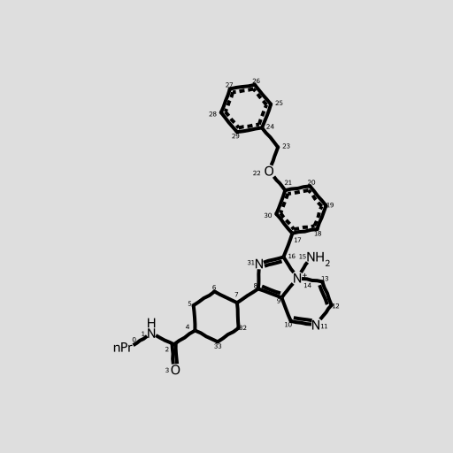 CCCNC(=O)C1CCC(C2=C3C=NC=C[N+]3(N)C(c3cccc(OCc4ccccc4)c3)=N2)CC1